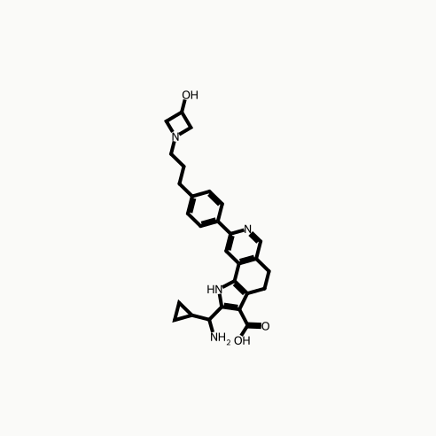 NC(c1[nH]c2c(c1C(=O)O)CCc1cnc(-c3ccc(CCCN4CC(O)C4)cc3)cc1-2)C1CC1